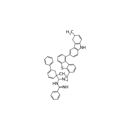 CC1C=Cc2[nH]c3ccc(-c4cccc5sc6c(C7CN7C(NC(=N)c7ccccc7)C7(C)C=CC=C(c8ccccc8)C7)cccc6c45)cc3c2C1